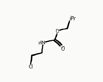 CC(C)COC(=O)NCCCl